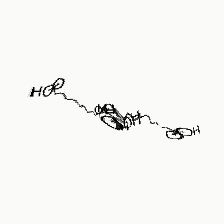 O=C(O)CCCCCCCCC[C@@]1(O)CO[C@H]2[C@@H]1OC[C@@]2(O)CCCCCCCCCC(=O)O